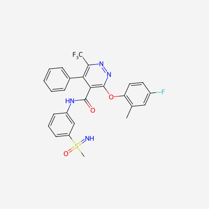 Cc1cc(F)ccc1Oc1nnc(C(F)(F)F)c(-c2ccccc2)c1C(=O)Nc1cccc(S(C)(=N)=O)c1